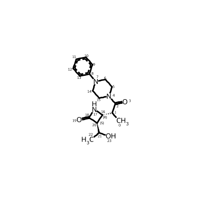 CC(C(=O)N1CCN(c2ccccc2)CC1)[C@H]1NC(=O)[C@@H]1C(C)O